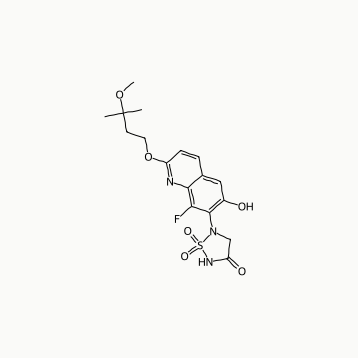 COC(C)(C)CCOc1ccc2cc(O)c(N3CC(=O)NS3(=O)=O)c(F)c2n1